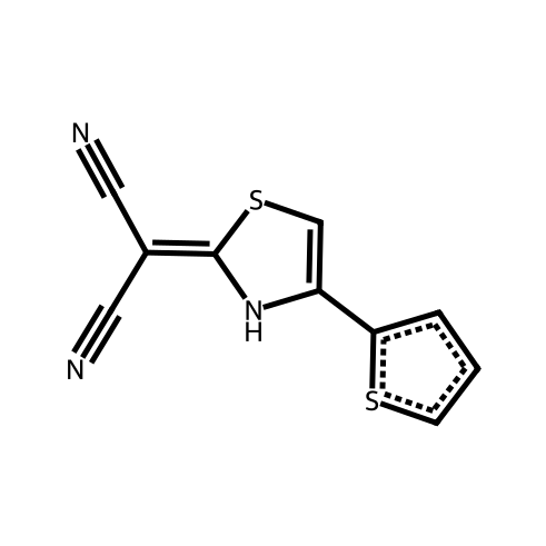 N#CC(C#N)=C1NC(c2cccs2)=CS1